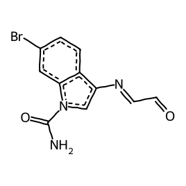 NC(=O)n1cc(N=CC=O)c2ccc(Br)cc21